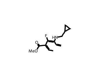 C=C/C(NCC1CC1)=C(F)\C(=C/C)C(=O)OC